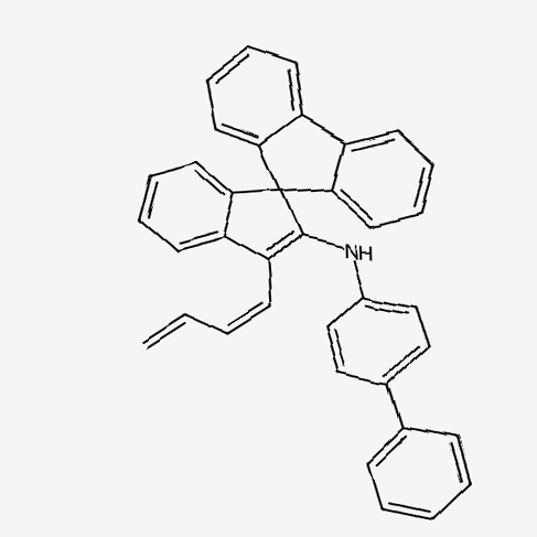 C=C/C=C\C1=C(Nc2ccc(-c3ccccc3)cc2)C2(c3ccccc31)c1ccccc1-c1ccccc12